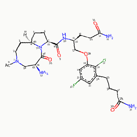 CC(=O)N1CC[C@H]2CC[C@@H](C(=O)N[C@@H](CCC(N)=O)COc3cc(F)cc(CCCC(N)=O)c3Cl)N2C(=O)[C@@H](N)C1